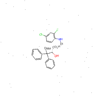 CCNc1ccc(Cl)cc1Cl.COC(c1ccccc1)(c1ccccc1)[C@@H](O)C(=O)O